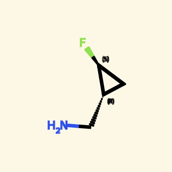 NC[C@H]1C[C@@H]1F